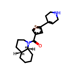 O=C(c1csc(C2=CCNCC2)c1)N1CCC[C@H]2CCCC[C@H]21